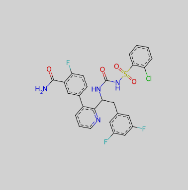 NC(=O)c1cc(-c2cccnc2C(Cc2cc(F)cc(F)c2)NC(=O)NS(=O)(=O)c2ccccc2Cl)ccc1F